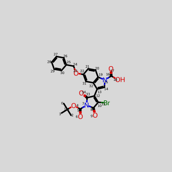 CC(C)(C)OC(=O)N1C(=O)C(Br)=C(c2cn(C(=O)O)c3ccc(OCc4ccccc4)cc23)C1=O